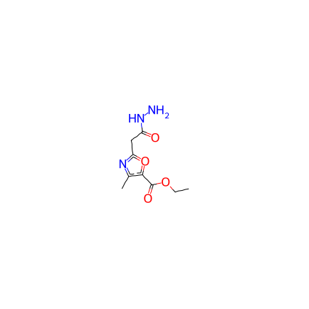 CCOC(=O)c1oc(CC(=O)NN)nc1C